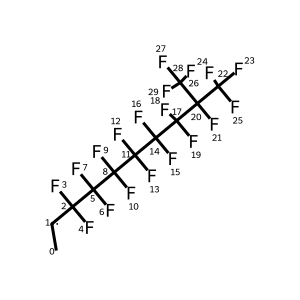 C[CH]C(F)(F)C(F)(F)C(F)(F)C(F)(F)C(F)(F)C(F)(F)C(F)(C(F)(F)F)C(F)(F)F